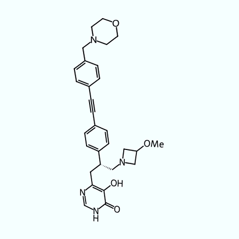 COC1CN(C[C@H](Cc2nc[nH]c(=O)c2O)c2ccc(C#Cc3ccc(CN4CCOCC4)cc3)cc2)C1